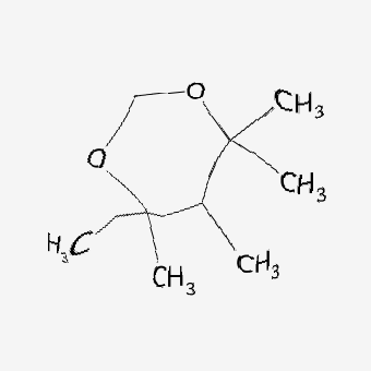 CC1C(C)(C)OCOC1(C)C